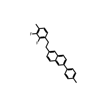 Cc1ccc(-c2ccc3cc(CCc4ccc(C)c(F)c4F)ccc3c2)cc1